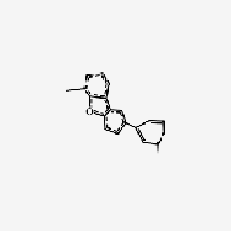 Cc1cccc2c1oc1ccc(C3=CC(C)CC=C3)cc12